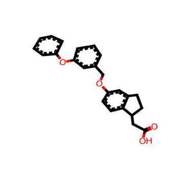 O=C(O)CC1CCc2cc(OCc3cccc(Oc4ccccc4)c3)ccc21